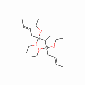 CC=CC[Si](OCC)(OCC)C(C)[Si](CC=CC)(OCC)OCC